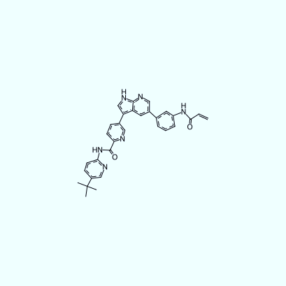 C=CC(=O)Nc1cccc(-c2cnc3[nH]cc(-c4ccc(C(=O)Nc5ccc(C(C)(C)C)cn5)nc4)c3c2)c1